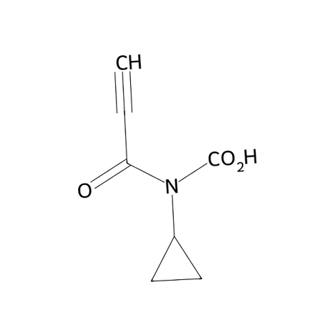 C#CC(=O)N(C(=O)O)C1CC1